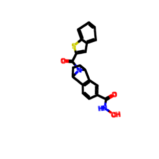 O=C(NO)c1ccc2c(c1)C1CCC2N1C(=O)c1cc2ccccc2s1